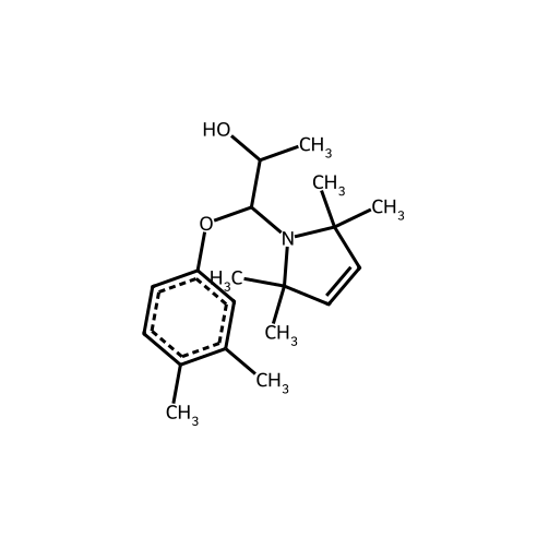 Cc1ccc(OC(C(C)O)N2C(C)(C)C=CC2(C)C)cc1C